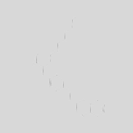 CCCCCCCCOC(Cc1ccc(OCc2cnc3ccccc3c2)cc1)C(=O)O